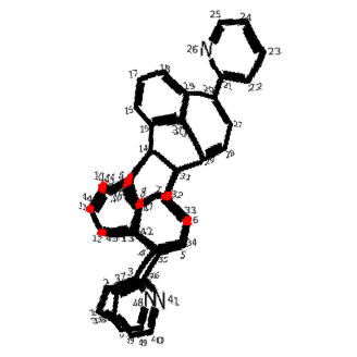 c1ccc(-c2ccc3c4c(cccc24)C24c5cccc6c(-c7ccccn7)ccc(c56)C32c2ccc(-c3ccccn3)c3cccc4c23)nc1